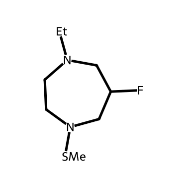 CCN1CCN(SC)CC(F)C1